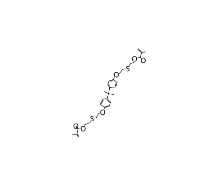 C=C(C)C(=O)OCCSCCOc1ccc(C(C)(C)c2ccc(OCCSCCOC(=O)C(=C)C)cc2)cc1